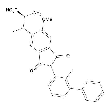 COc1cc2c(cc1C(C)[C@H](N)C(=O)O)C(=O)N(c1cccc(-c3ccccc3)c1C)C2=O